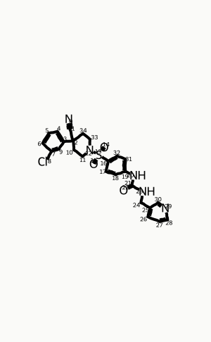 N#CC1(c2cccc(Cl)c2)CCN(S(=O)(=O)c2ccc(NC(=O)NCc3cccnc3)cc2)CC1